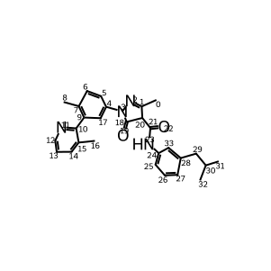 CC1=NN(c2ccc(C)c(-c3ncccc3C)c2)C(=O)C1C(=O)Nc1cccc(CC(C)C)c1